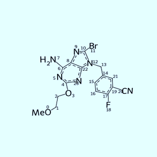 COCCOc1nc(N)c2nc(Br)n(Cc3ccc(F)c(C#N)c3)c2n1